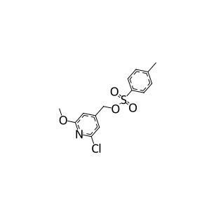 COc1cc(COS(=O)(=O)c2ccc(C)cc2)cc(Cl)n1